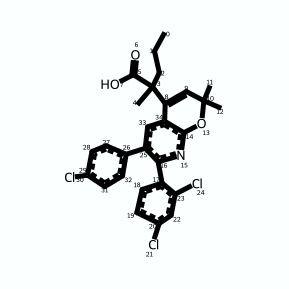 CCCC(C)(C(=O)O)C1=CC(C)(C)Oc2nc(-c3ccc(Cl)cc3Cl)c(-c3ccc(Cl)cc3)cc21